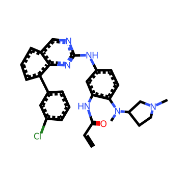 C=CC(=O)Nc1cc(Nc2ncc3cccc(-c4cccc(Cl)c4)c3n2)ccc1N(C)C1CCN(C)C1